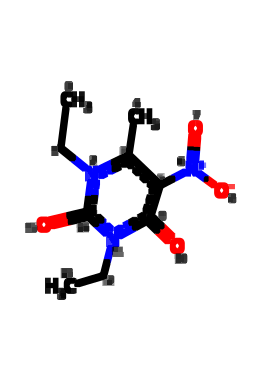 CCn1c(C)c([N+](=O)[O-])c(=O)n(CC)c1=O